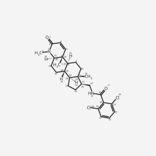 CN1C(=O)C=C[C@]2(C)[C@H]3CC[C@]4(C)[C@@H](CNC(=O)c5c(Cl)cccc5Cl)CC[C@H]4[C@@H]3CC[C@@H]12